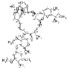 CC[C@@H](C)[C@H]1O[C@]2(C=C[C@@H]1C)C[C@@H]1C[C@@H](C/C=C(\C)[C@@H](O[C@H]3C[C@H](OC)[C@@H](O[C@H]4C[C@H](OC)[C@H](N)[C@H](C)O4)[C@H](C)O3)[C@@H](C)/C=C/C=C3\CO[C@@H]4[C@H](O)C(C)=C[C@@H](C(=O)O1)[C@]34O)O2